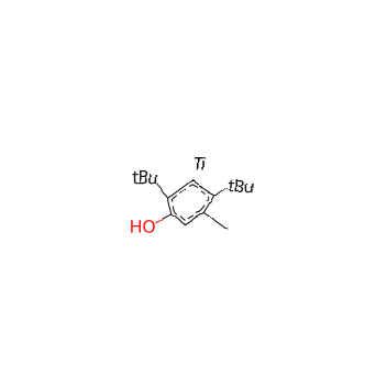 Cc1cc(O)c(C(C)(C)C)cc1C(C)(C)C.[Ti]